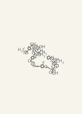 Cc1ncsc1-c1ccc(C(C)NC(=O)[C@@H]2C[C@@H](O)CN2C(=O)C(NC(=O)c2ccc(C(=O)N3CCN(CC#Cc4ccc(OCCCc5sc(N6CCCc7c6nnc(Nc6nc8ccccc8s6)c7C)nc5C(=O)O)c(F)c4)CC3)cc2F)C(C)(C)C)cc1